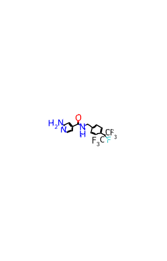 Nc1cc(C(=O)NCc2ccc(C(F)(C(F)(F)F)C(F)(F)F)cc2)ccn1